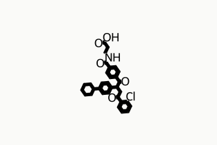 O=C(O)CCNC(=O)c1ccc(C(=O)C(CC(=O)c2ccccc2Cl)c2ccc(C3CCCCC3)cc2)cc1